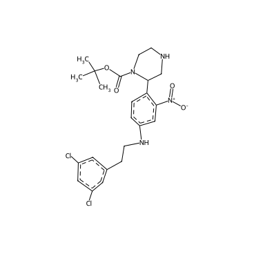 CC(C)(C)OC(=O)N1CCNCC1c1ccc(NCCc2cc(Cl)cc(Cl)c2)cc1[N+](=O)[O-]